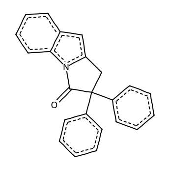 O=C1n2c(cc3ccccc32)CC1(c1ccccc1)c1ccccc1